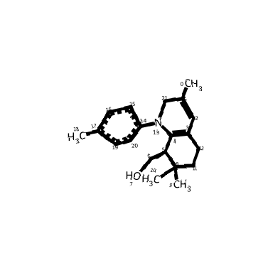 CC1=CC2=C(C(CO)C(C)(C)CC2)N(c2ccc(C)cc2)C1